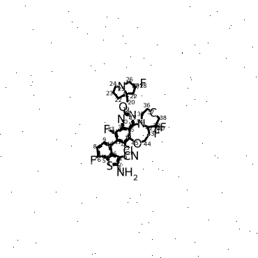 N#Cc1c(N)sc2c(F)ccc(-c3c(Cl)c4c5c(nc(OCC67CCCN6C[C@H](F)C7)nc5c3F)N3CCCCC(F)(F)C3CCO4)c12